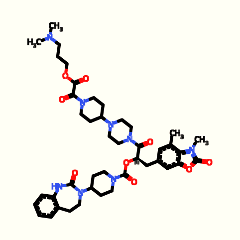 Cc1cc(C[C@@H](OC(=O)N2CCC(N3CCc4ccccc4NC3=O)CC2)C(=O)N2CCN(C3CCN(C(=O)C(=O)OCCCN(C)C)CC3)CC2)cc2oc(=O)n(C)c12